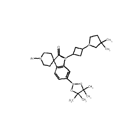 CC(=O)N1CCC2(CC1)C(=O)N(C1CC(N3CCC(C)(C)C3)C1)c1cc(B3OC(C)(C)C(C)(C)O3)ccc12